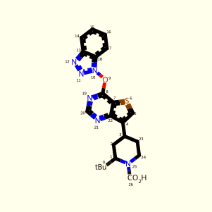 CC(C)(C)C1CC(c2csc3c(On4nnc5ccccc54)ncnc23)CCN1C(=O)O